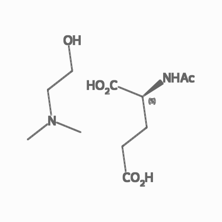 CC(=O)N[C@@H](CCC(=O)O)C(=O)O.CN(C)CCO